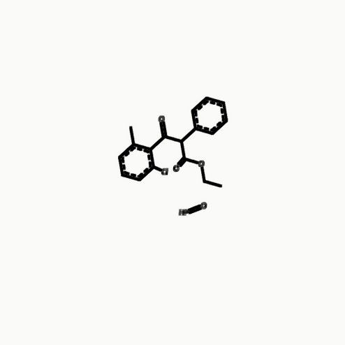 CCOC(=O)C(C(=O)c1c(C)cccc1Cl)c1ccccc1.O=P